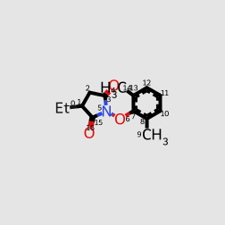 CCC1CC(=O)N(Oc2c(C)cccc2C)C1=O